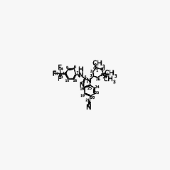 C[C@H]1CC(n2c(Nc3ccc(C(F)(F)F)cc3)nc3cc(C#N)ccc32)CC(C)(C)C1